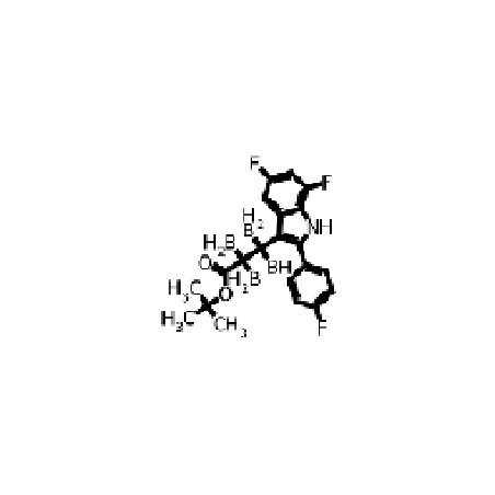 BC(B)(C(=O)OC(C)(C)C)C(B)(B)c1c(-c2ccc(F)cc2)[nH]c2c(F)cc(F)cc12